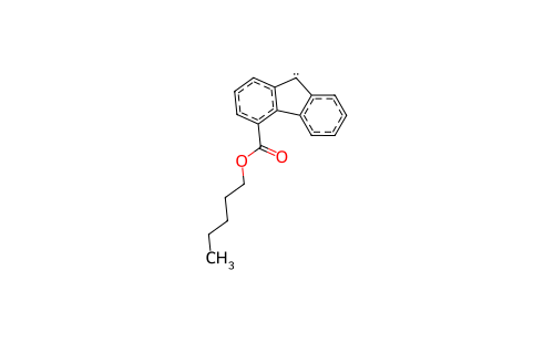 CCCCCOC(=O)c1cccc2c1-c1ccccc1[C]2